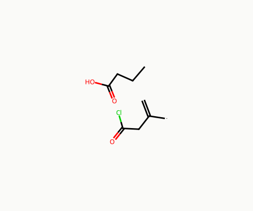 CCCC(=O)O.[CH2]C(=C)CC(=O)Cl